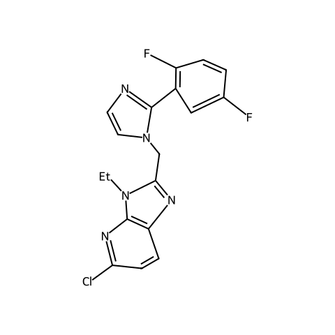 CCn1c(Cn2ccnc2-c2cc(F)ccc2F)nc2ccc(Cl)nc21